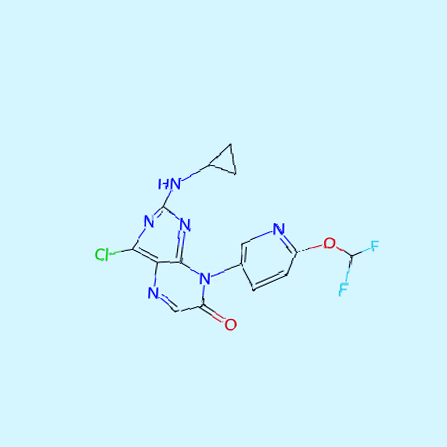 O=c1cnc2c(Cl)nc(NC3CC3)nc2n1-c1ccc(OC(F)F)nc1